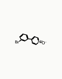 [O-][n+]1ccc(-c2cccc(Br)c2)cc1